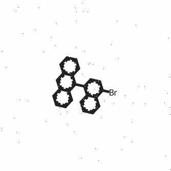 Brc1ccc(-c2c3ccccc3cc3ccccc23)c2ccccc12